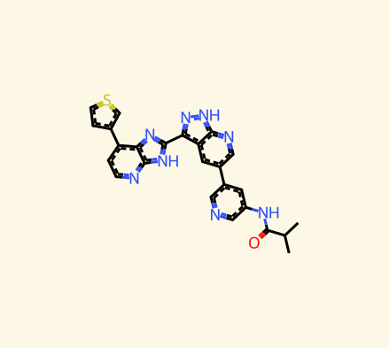 CC(C)C(=O)Nc1cncc(-c2cnc3[nH]nc(-c4nc5c(-c6ccsc6)ccnc5[nH]4)c3c2)c1